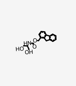 O=C(NC(CO)CO)OCc1cccc2c1Cc1ccccc1-2